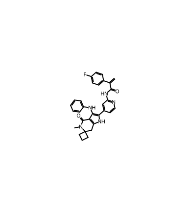 C=C(C(=O)Nc1cc(-c2[nH]c3c(c2Nc2ccccc2)C(=O)N(C)C2(CCC2)C3)ccn1)c1ccc(F)cc1